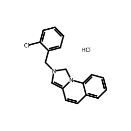 Cl.Clc1ccccc1CN1C=C2C=Cc3ccccc3N2C1